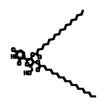 CCCCCCCCCCCCCCCCCC(=O)OC1C(OC(=O)CCCCCCCCCCCCCCCCC)[C@@H](n2ccc(=O)[nH]c2=O)O[C@H]1CO